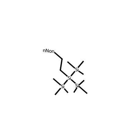 [CH2]CCCCCCCCCC[Si]([Si](C)(C)C)([Si](C)(C)C)[Si](C)(C)C